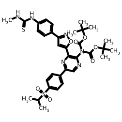 CNC(=S)Nc1ccc(-c2cc(-c3nc(-c4ccc(S(=O)(=O)C(C)C)cc4)cnc3N(C(=O)OC(C)(C)C)C(=O)OC(C)(C)C)on2)cc1